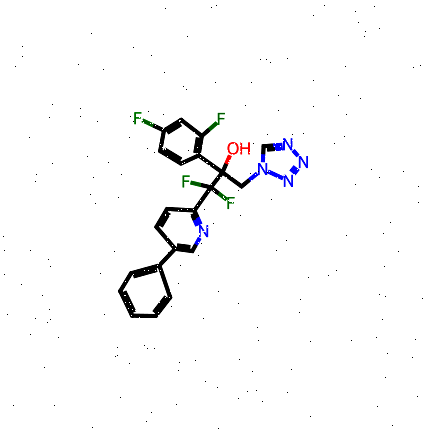 OC(Cn1cnnn1)(c1ccc(F)cc1F)C(F)(F)c1ccc(-c2ccccc2)cn1